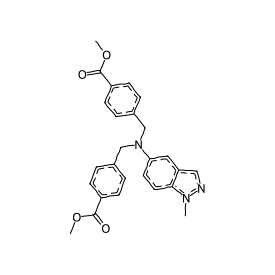 COC(=O)c1ccc(CN(Cc2ccc(C(=O)OC)cc2)c2ccc3c(cnn3C)c2)cc1